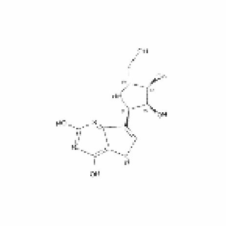 OC[C@H]1N[C@H](c2c[nH]c3c(O)nc(O)nc23)[C@H](O)[C@@H]1O